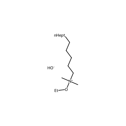 CCCCCCCCCCCC[N+](C)(C)OCC.[OH-]